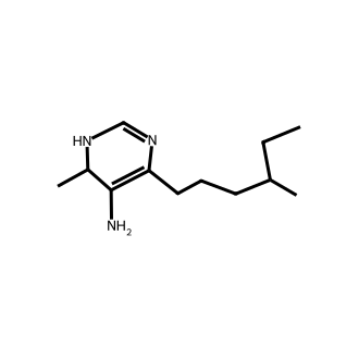 CCC(C)CCCC1=C(N)C(C)NC=N1